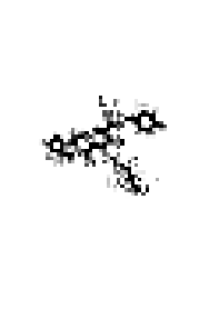 CC(C)(C(=O)O)C(=O)OCOc1c2n(cc(C(=O)NCc3ccc(F)cc3F)c1=O)C[C@@H]1N(C[C@H]3CCCN31)C2=O.[Na]